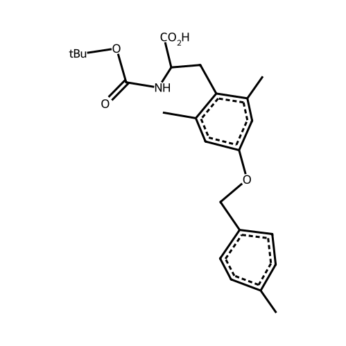 Cc1ccc(COc2cc(C)c(CC(NC(=O)OC(C)(C)C)C(=O)O)c(C)c2)cc1